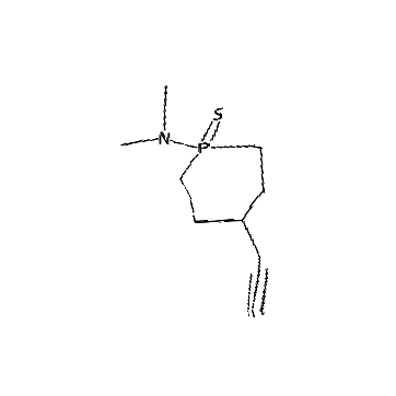 C#CC1CCP(=S)(N(C)C)CC1